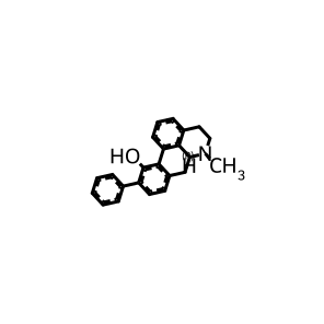 CN1CCc2cccc3c2[C@H]1Cc1ccc(-c2ccccc2)c(O)c1-3